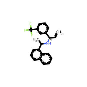 C=C[C@@H](NC(C)c1cccc2ccccc12)c1cccc(C(F)(F)F)c1